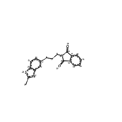 Cc1nc2cc(CCCN3C(=O)c4ccccc4C3=O)ccc2s1